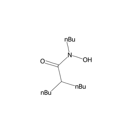 CCCCC(CCCC)C(=O)N(O)CCCC